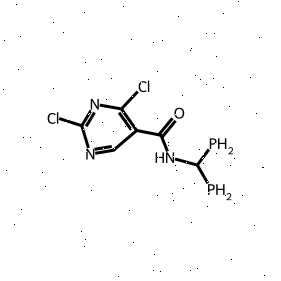 O=C(NC(P)P)c1cnc(Cl)nc1Cl